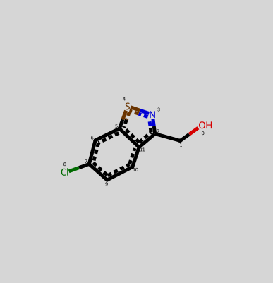 OCc1nsc2cc(Cl)ccc12